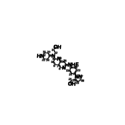 OCCN(c1ccc2cnc(Nc3ccc(-n4nccc4CO)cc3F)cc2n1)C1CCNCC1